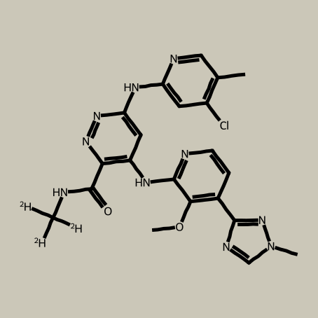 [2H]C([2H])([2H])NC(=O)c1nnc(Nc2cc(Cl)c(C)cn2)cc1Nc1nccc(-c2ncn(C)n2)c1OC